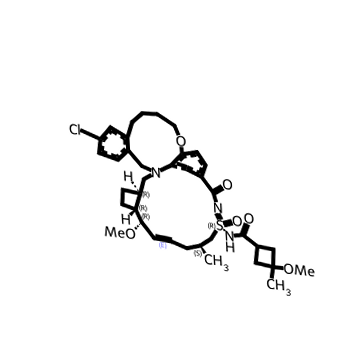 CO[C@H]1/C=C/C[C@H](C)C[S@@](=O)(NC(=O)C2CC(C)(OC)C2)=NC(=O)c2ccc3c(c2)N(Cc2ccc(Cl)cc2CCCCO3)C[C@@H]2CC[C@H]21